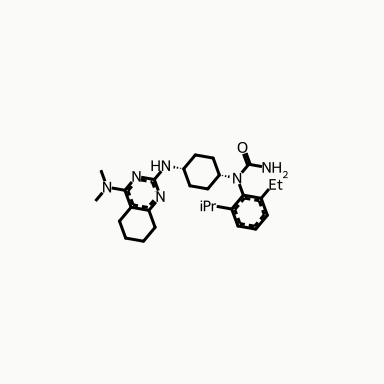 CCc1cccc(C(C)C)c1N(C(N)=O)[C@H]1CC[C@@H](Nc2nc3c(c(N(C)C)n2)CCCC3)CC1